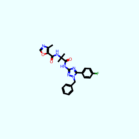 Cc1ncoc1C(=O)NC(C)(C)C(=O)Nc1nc(-c2ccc(F)cc2)n(Cc2ccccc2)n1